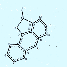 IC1Cc2c3ccccc3cc3cccc1c23